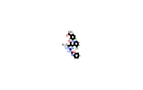 CC(=O)c1ccc(F)c(NC(=O)C2=C(C)NC(Nc3nc4ccccc4o3)=NC2c2ccccc2Cl)c1